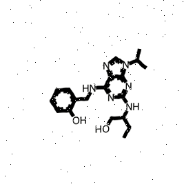 CCC(CO)Nc1nc(NCc2ccccc2O)c2ncn(C(C)C)c2n1